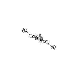 C=CC(=O)OCCCCCCOc1ccc(C(=O)Oc2ccc(OC(=O)c3ccc(OCCCCCCOC(=O)C=C)cc3)c(C(F)F)c2)cc1